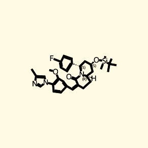 COc1cc(C=C2CC[C@@H]3C[C@H](O[Si](C)(C)C(C)(C)C)C[C@@H](c4ccc(F)cc4)N3C2=O)ccc1-n1cnc(C)c1